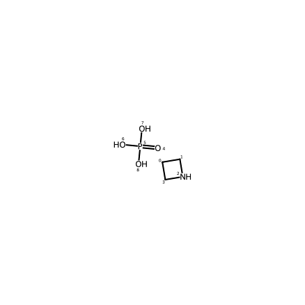 C1CNC1.O=P(O)(O)O